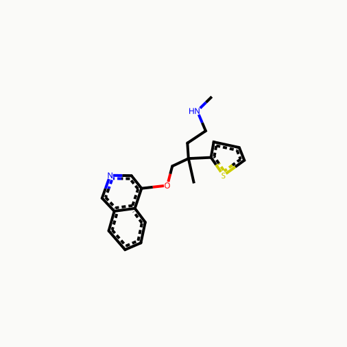 CNCCC(C)(COc1cncc2ccccc12)c1cccs1